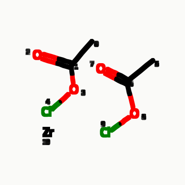 CC(=O)OCl.CC(=O)OCl.[Zr]